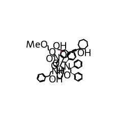 COCCOC(=O)N1C(=O)[C@@]2(c3cc(C#CC4(O)CCCCCC4)ccc31)[C@H](C(=O)NC[C@H](O)c1ccccc1)[C@H]1C(=O)O[C@H](c3ccccc3)[C@H](c3ccccc3)N1[C@@H]2c1ccccc1OCCO